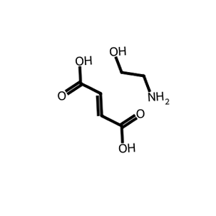 NCCO.O=C(O)/C=C/C(=O)O